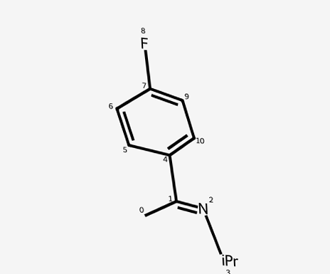 CC(=NC(C)C)c1ccc(F)cc1